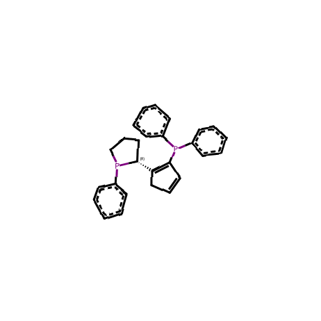 C1=CC(P(c2ccccc2)c2ccccc2)=C([C@H]2CCCP2c2ccccc2)C1